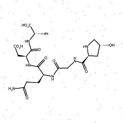 CC(C)[C@H](NC(=O)[C@H](CC(=O)O)NC(=O)[C@H](CCC(N)=O)NC(=O)CNC(=O)[C@@H]1C[C@@H](O)CN1)C(=O)O